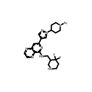 CC(=O)N1CCC(n2cc(-c3cc4nccnc4c(NCC4CNCCC4(F)F)n3)cn2)CC1